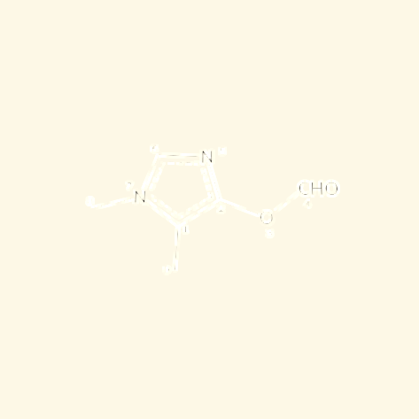 Cc1c(OC=O)ncn1C